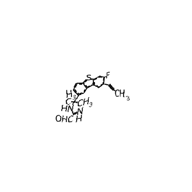 CC#Cc1cc2c(cc1F)sc1ccc(C(C)(C)NC(=N)C=O)cc12